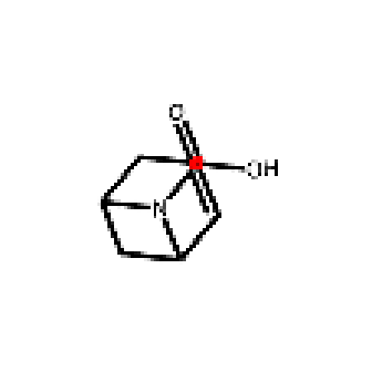 O=C(O)N1C2C=CCC1C2